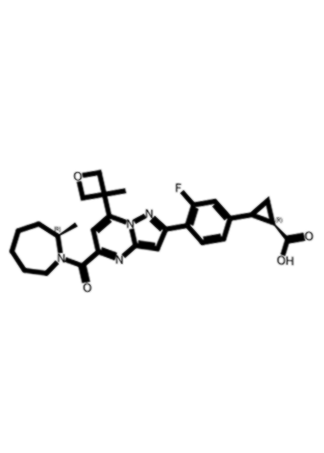 C[C@@H]1CCCCCN1C(=O)c1cc(C2(C)COC2)n2nc(-c3ccc(C4C[C@H]4C(=O)O)cc3F)cc2n1